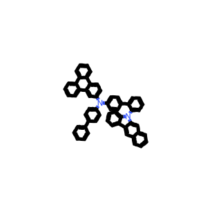 c1ccc(-c2ccc(N(c3ccc(-c4ccccc4-n4c5ccccc5c5cc6ccccc6cc54)cc3)c3ccc4c5ccccc5c5ccccc5c4c3)cc2)cc1